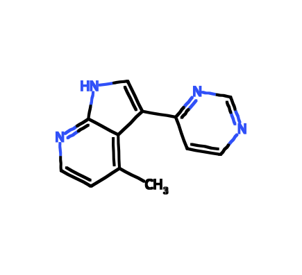 Cc1ccnc2[nH]cc(-c3ccncn3)c12